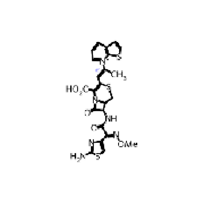 CON=C(C(=O)NC1C(=O)N2C(C(=O)O)=C(/C=C(\C)[n+]3cccc4ccsc43)SCC12)c1csc(N)n1